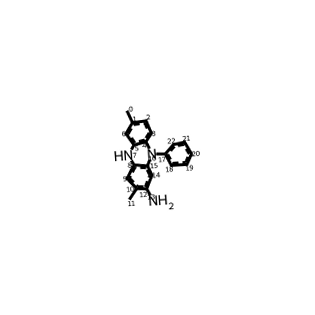 Cc1ccc2c(c1)Nc1cc(C)c(N)cc1N2c1ccccc1